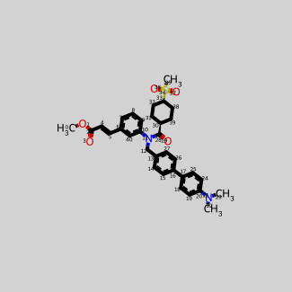 COC(=O)/C=C/c1cccc(N(Cc2ccc(-c3ccc(N(C)C)cc3)cc2)C(=O)[C@H]2CC[C@@H](S(C)(=O)=O)CC2)c1